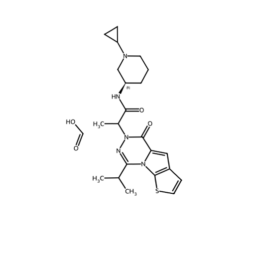 CC(C)c1nn(C(C)C(=O)N[C@@H]2CCCN(C3CC3)C2)c(=O)c2cc3ccsc3n12.O=CO